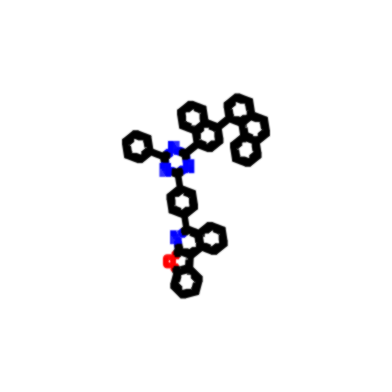 c1ccc(-c2nc(-c3ccc(-c4nc5oc6ccccc6c5c5ccccc45)cc3)nc(-c3ccc(-c4cccc5ccc6ccccc6c45)c4ccccc34)n2)cc1